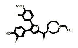 COc1ccc(-c2sc(C(=O)N3CCCN(CC(F)(F)F)CC3)cc2-c2ccc(C#N)c(F)c2)cc1F